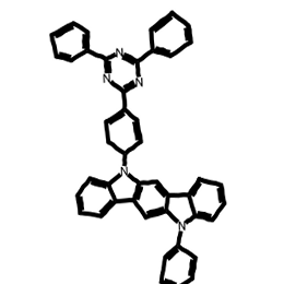 C1=CC(n2c3ccccc3c3cc4c(cc32)c2ccccc2n4-c2ccccc2)CC=C1c1nc(-c2ccccc2)nc(-c2ccccc2)n1